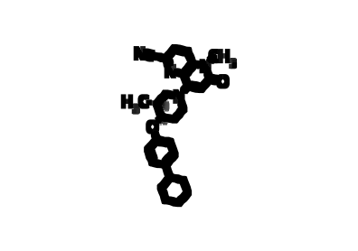 C[C@@H]1CN(c2cc(=O)n(C)c3ccc(C#N)nc23)CC[C@H]1Oc1ccc(C2CCCCC2)cc1